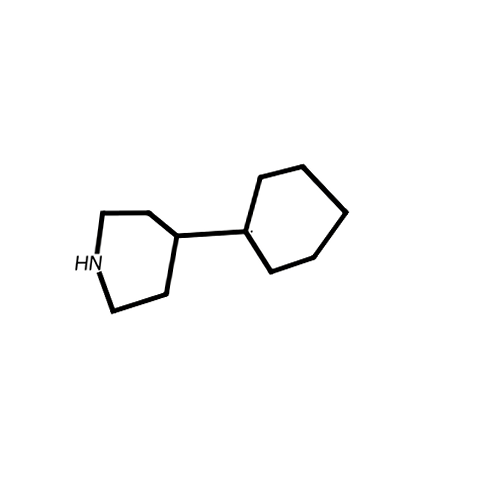 C1CC[C](C2CCNCC2)CC1